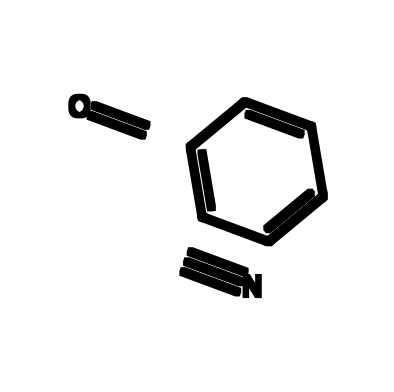 C#N.C=O.c1ccccc1